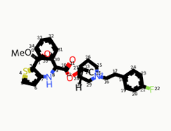 COC(=O)c1sccc1NC(C(=O)O[C@H]1C[N+]2(CCc3ccc(F)cc3)CCC1CC2)c1ccccc1